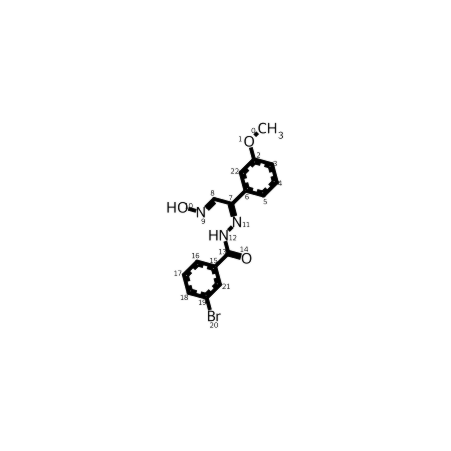 COc1cccc(C(C=NO)=NNC(=O)c2cccc(Br)c2)c1